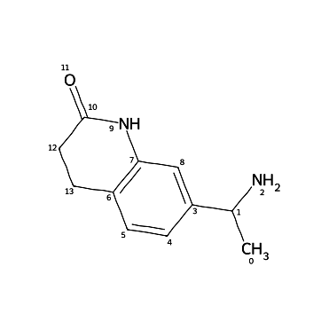 CC(N)c1ccc2c(c1)NC(=O)CC2